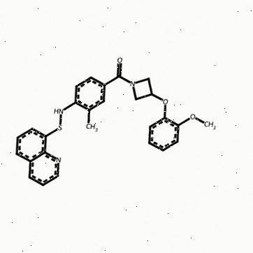 COc1ccccc1OC1CN(C(=O)c2ccc(NSc3cccc4cccnc34)c(C)c2)C1